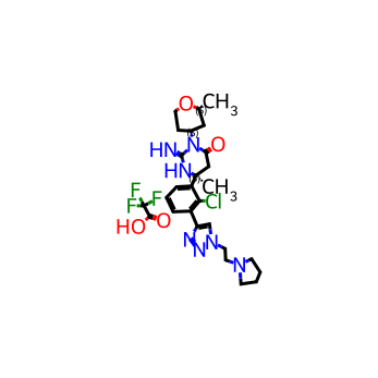 C[C@H]1C[C@@H](N2C(=N)N[C@](C)(c3cccc(-c4cn(CCN5CCCC5)nn4)c3Cl)CC2=O)CCO1.O=C(O)C(F)(F)F